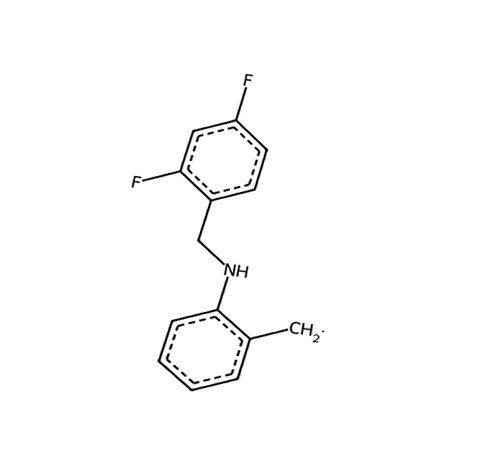 [CH2]c1ccccc1NCc1ccc(F)cc1F